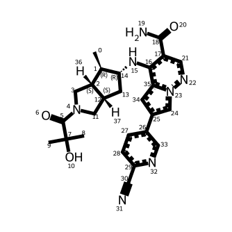 C[C@@H]1[C@H]2CN(C(=O)C(C)(C)O)C[C@H]2C[C@H]1Nc1c(C(N)=O)cnn2cc(-c3ccc(C#N)nc3)cc12